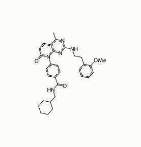 COc1ccccc1CCNc1nc(C)c2ccc(=O)n(-c3ccc(C(=O)NCC4CCCCC4)cc3)c2n1